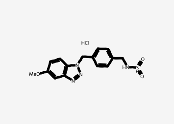 COc1ccc2c(c1)nnn2Cc1ccc(CN[SH](=O)=O)cc1.Cl